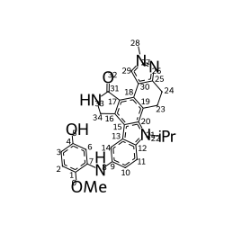 COc1ccc(O)cc1Nc1ccc2c(c1)c1c3c(c4c(c1n2C(C)C)CCc1nn(C)cc1-4)C(=O)NC3